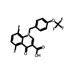 O=C(O)c1cn(Cc2ccc(OC(F)(F)F)cc2)c2c(F)ccc(F)c2c1=O